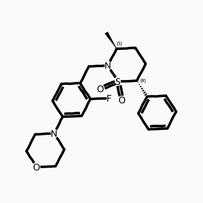 C[C@H]1CC[C@H](c2ccccc2)S(=O)(=O)N1Cc1ccc(N2CCOCC2)cc1F